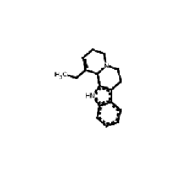 CCC1=CCCN2CCc3c([nH]c4ccccc34)C12